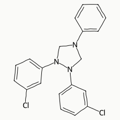 Clc1cccc(N2CN(c3ccccc3)CN2c2cccc(Cl)c2)c1